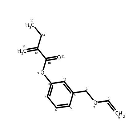 C=COCc1cccc(OC(=O)C(=C)CC)c1